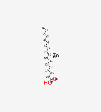 CCCCCCCCC=CCCCCCCCC(=O)O.[Zn]